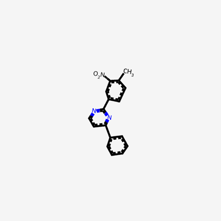 Cc1ccc(-c2nccc(-c3ccccc3)n2)cc1[N+](=O)[O-]